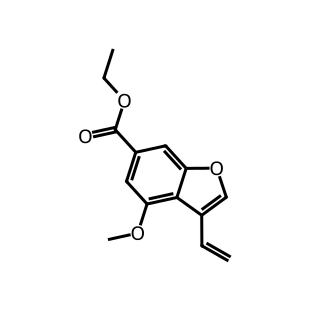 C=Cc1coc2cc(C(=O)OCC)cc(OC)c12